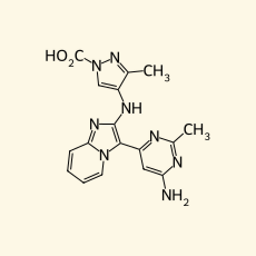 Cc1nc(N)cc(-c2c(Nc3cn(C(=O)O)nc3C)nc3ccccn23)n1